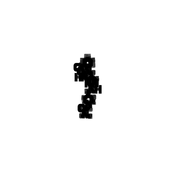 CN(C)C(=O)CN1CCC(CNc2ncc3c(n2)NC(=O)N(c2ccccc2Cl)C3)CC1